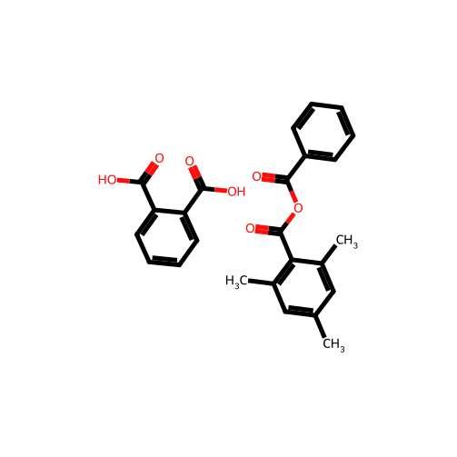 Cc1cc(C)c(C(=O)OC(=O)c2ccccc2)c(C)c1.O=C(O)c1ccccc1C(=O)O